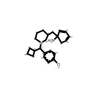 NC1(CC2CCCN(C(c3ccc(Cl)cc3)C3CCC3)C2)C=CC=CC1